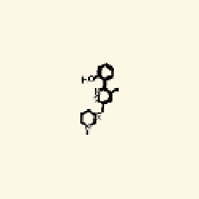 Cc1cc(C[C@@H]2CCCN(C)C2)nnc1-c1ccccc1O